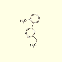 CCc1[c]ccc(-c2ccccc2C)c1